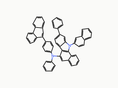 c1ccc(-c2ccc3c4c(N(c5ccccc5)c5ccc(-c6cc7ccccc7c7ccccc67)cc5)cc5ccccc5c4n(-c4ccc5ccccc5c4)c3c2)cc1